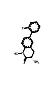 N[C@H]1Cc2cc(-c3ccccc3F)ccc2N(O)C1=O